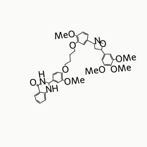 COc1cc(C2NC(=O)c3ccccc3N2)ccc1OCCCCOc1cc(C2=NOC(c3cc(OC)c(OC)c(OC)c3)C2)ccc1OC